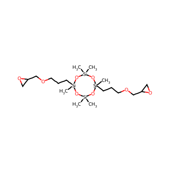 C[Si]1(C)O[Si](C)(CCCOCC2CO2)O[Si](C)(C)O[Si](C)(CCCOCC2CO2)O1